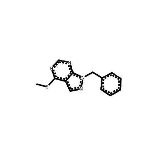 CSc1ncnc2c1cnn2Cc1ccccc1